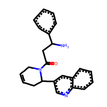 NC(CC(=O)N1CC=CCC1c1cnc2ccccc2c1)c1ccccc1